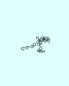 C[Si](C)(C)CCOCC(OC1CN(C(=O)O)CCC1c1ccc(OCCCOCc2ccccc2)cc1)c1ccc2[nH]cnc2c1